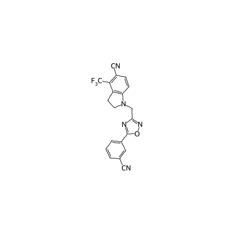 N#Cc1cccc(-c2nc(CN3CCc4c3ccc(C#N)c4C(F)(F)F)no2)c1